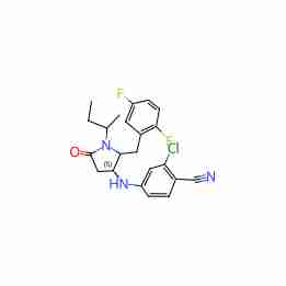 CCC(C)N1C(=O)C[C@H](Nc2ccc(C#N)c(Cl)c2)C1Cc1cc(F)ccc1F